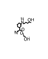 CC(O)CCCNC1=C/C(=C(/C#N)C(=O)OCCCO)CCC1